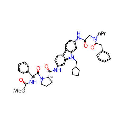 CCCN(CC(=O)Nc1ccc2c3ccc(NC(=O)[C@@H]4CCCN4C(=O)[C@H](NC(=O)OC)c4ccccc4)cc3n(CC3CCCC3)c2c1)C(=O)Cc1ccccc1